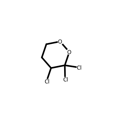 ClC1CCOOC1(Cl)Cl